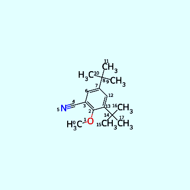 COc1c(C#N)cc(C(C)(C)C)cc1C(C)(C)C